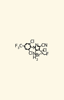 N#Cc1nn(-c2c(Cl)cc(C(F)(F)F)cc2Cl)c(N)c1S(Cl)(Br)CF